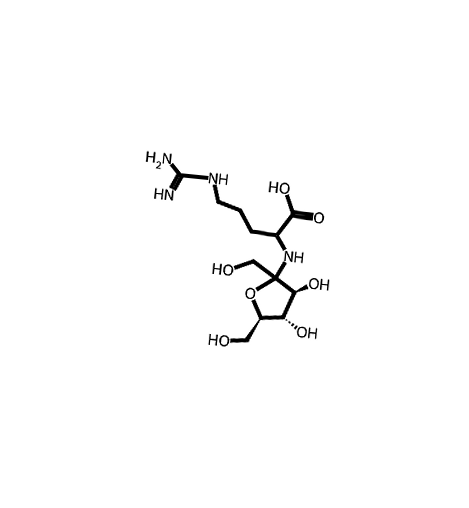 N=C(N)NCCCC(NC1(CO)O[C@H](CO)[C@@H](O)[C@@H]1O)C(=O)O